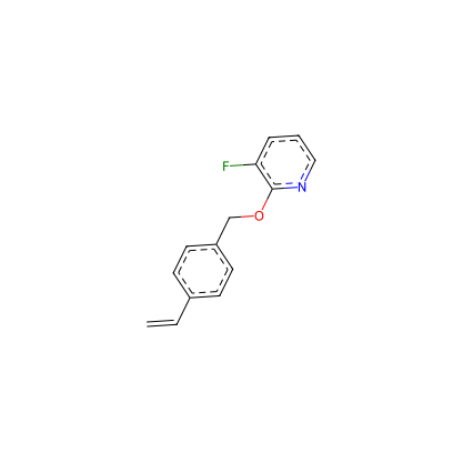 C=Cc1ccc(COc2ncccc2F)cc1